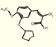 COc1ccc(C=C(C)C(=O)O)cc1OC1CCCC1